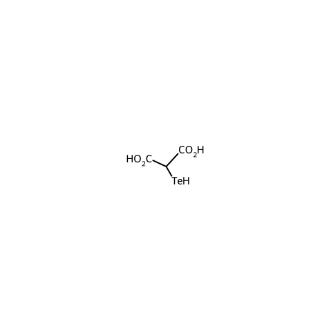 O=C(O)C([TeH])C(=O)O